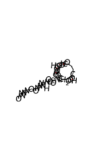 CO[C@H]1C[C@@H]2CC[C@@H](C)[C@@](O)(O2)C(=O)C(=O)N2CCCC[C@H]2C(=O)O[C@H]([C@H](N)C[C@@H]2CC[C@@H](OC(=O)NCc3cnc(N4CCN(C(=O)CCOCCN5CCN(c6ncc(C(C)=O)cn6)CC5)CC4)nc3)[C@H](OC)C2)CC[C@H](C)/C=C(\C)[C@@H](O)[C@@H](OC)C(=O)[C@H](C)C[C@H](C)/C=C/C=C/C=C/1C